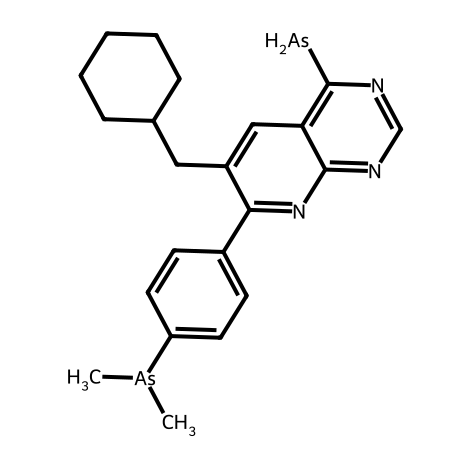 C[As](C)c1ccc(-c2nc3ncnc([AsH2])c3cc2CC2CCCCC2)cc1